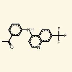 CC(=O)c1cccc(Nc2ccnc3cc(C(F)(F)F)ccc23)c1